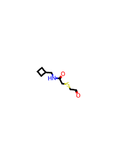 O=CCSCC(=O)NCC1CCC1